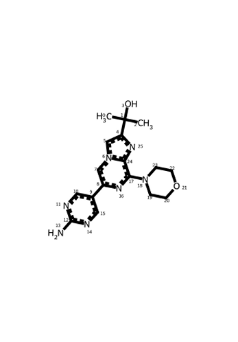 CC(C)(O)c1cn2cc(-c3cnc(N)nc3)nc(N3CCOCC3)c2n1